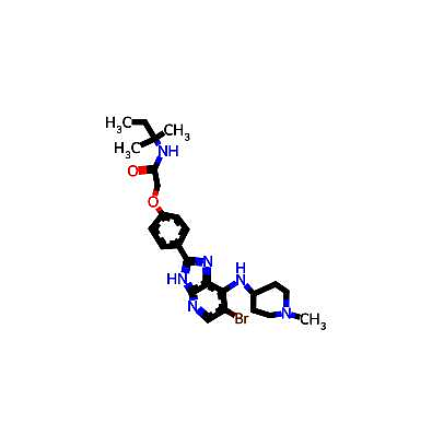 CCC(C)(C)NC(=O)COc1ccc(-c2nc3c(NC4CCN(C)CC4)c(Br)cnc3[nH]2)cc1